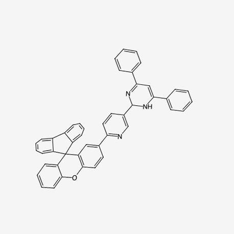 C1=C(c2ccccc2)NC(c2ccc(-c3ccc4c(c3)C3(c5ccccc5O4)c4ccccc4-c4ccccc43)nc2)N=C1c1ccccc1